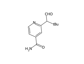 CC(C)(C)C(C=O)c1cc(C(N)=O)ccn1